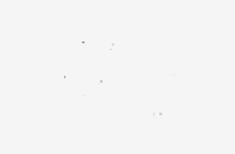 CCCCCCCCCCCCCCOC(=O)C(CCCCC)NC(=O)O.CCCCCCCCCCCCCCOC(=O)C(N)CCCCC